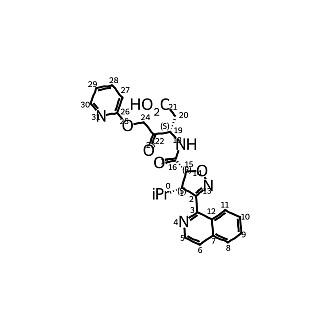 CC(C)[C@H]1C(c2nccc3ccccc23)=NO[C@H]1C(=O)N[C@@H](CC(=O)O)C(=O)COc1ccccn1